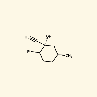 C#C[C@@]1(O)C[C@@H](C)CCC1C(C)C